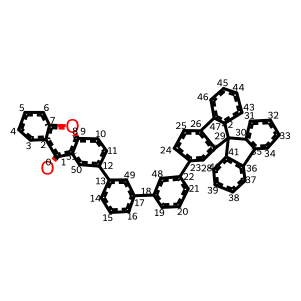 O=c1c2ccccc2oc2ccc(-c3cccc(-c4cccc(-c5ccc6c(c5)C5(c7ccccc7-c7ccccc75)c5ccccc5-6)c4)c3)cc12